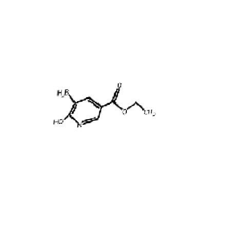 Bc1cc(C(=O)OCC)cnc1O